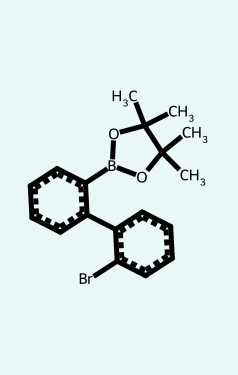 CC1(C)OB(c2ccccc2-c2ccccc2Br)OC1(C)C